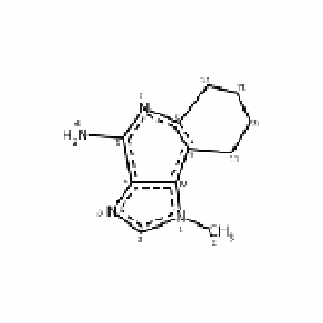 Cn1cnc2c(N)nc3c(c21)CCCC3